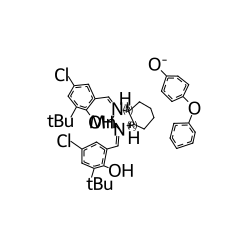 CC(C)(C)c1cc(Cl)cc(C=[N+]2[Mn][N+](=Cc3cc(Cl)cc(C(C)(C)C)c3O)[C@@H]3CCCC[C@H]32)c1O.[O-]c1ccc(Oc2ccccc2)cc1